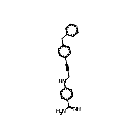 N=C(N)c1ccc(NCC#Cc2ccc(Cc3ccccc3)cc2)cc1